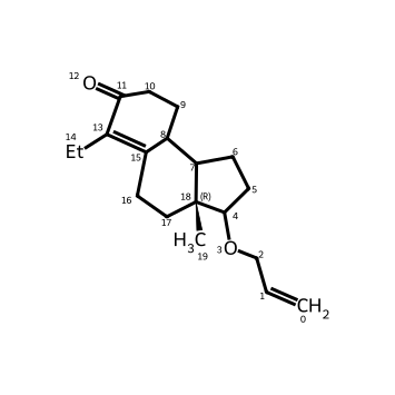 C=CCOC1CCC2C3CCC(=O)C(CC)=C3CC[C@@]12C